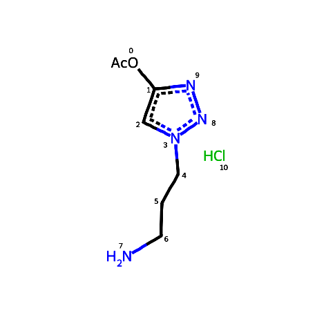 CC(=O)Oc1cn(CCCN)nn1.Cl